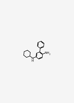 Nc1ccc(NC2CCCCC2)cc1-c1ccccc1